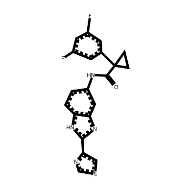 O=C(Nc1ccc2[nH]c(-c3cscn3)nc2c1)C1(c2cc(F)cc(F)c2)CC1